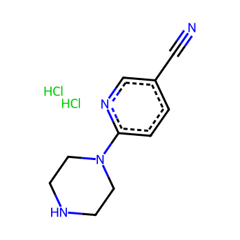 Cl.Cl.N#Cc1ccc(N2CCNCC2)nc1